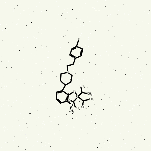 COc1[c]ccc(C2CCN(CCc3ccc(F)cc3)CC2)c1O[Si](C(C)C)(C(C)C)C(C)C